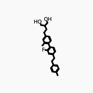 Cc1ccc(CCc2ccc(-c3ccc(CCC(CO)CO)cc3C)c(F)c2)cc1